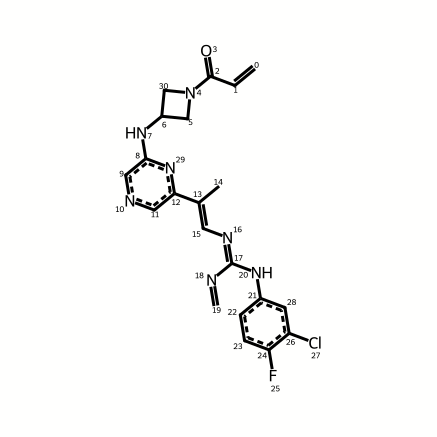 C=CC(=O)N1CC(Nc2cncc(/C(C)=C/N=C(\N=C)Nc3ccc(F)c(Cl)c3)n2)C1